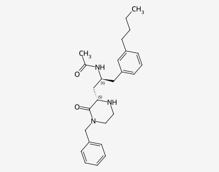 CCCCc1cccc(C[C@@H](C[C@@H]2NCCN(Cc3ccccc3)C2=O)NC(C)=O)c1